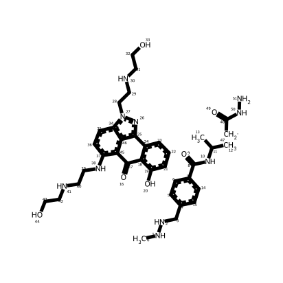 CNNCc1ccc(C(=O)NC(C)C)cc1.O=C1c2c(O)cccc2-c2nn(CCNCCO)c3ccc(NCCNCCO)c1c23.[CH2]C(=O)NN